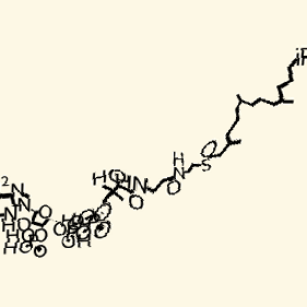 CC(C)CCCC(C)CCCC(C)CCCC(C)CC(=O)SCCNC(=O)CCNC(=O)[C@H](O)C(C)(C)COP(=O)(O)OP(=O)(O)OC[C@H]1O[C@@H](n2cnc3c(N)ncnc32)[C@H](O)[C@@H]1OP(=O)(O)O